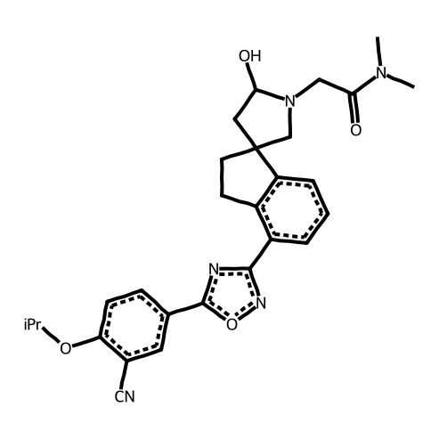 CC(C)Oc1ccc(-c2nc(-c3cccc4c3CCC43CC(O)N(CC(=O)N(C)C)C3)no2)cc1C#N